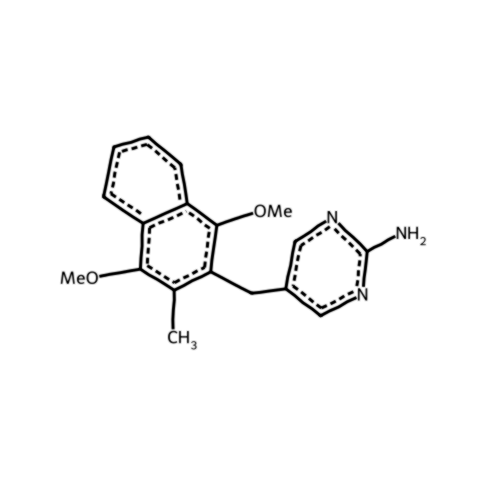 COc1c(C)c(Cc2cnc(N)nc2)c(OC)c2ccccc12